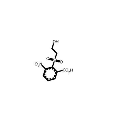 O=C(O)c1cccc([N+](=O)[O-])c1S(=O)(=O)CCO